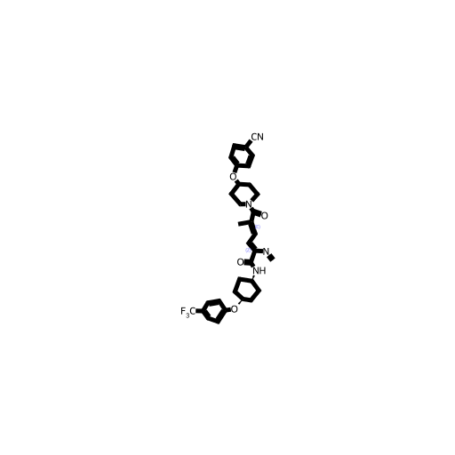 C=N/C(=C\C=C(/C)C(=O)N1CCC(Oc2ccc(C#N)cc2)CC1)C(=O)N[C@H]1CC[C@@H](Oc2ccc(C(F)(F)F)cc2)CC1